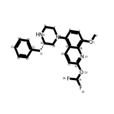 COc1ccc(N2CCN[C@@H](Cc3ccccc3)C2)c2ccc(OC(F)F)nc12